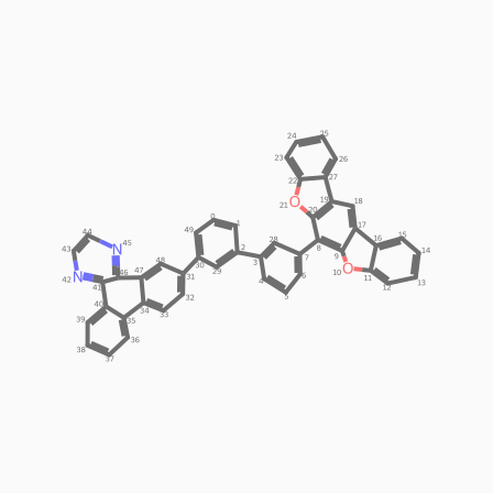 c1cc(-c2cccc(-c3c4oc5ccccc5c4cc4c3oc3ccccc34)c2)cc(-c2ccc3c4ccccc4c4nccnc4c3c2)c1